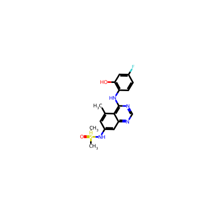 Cc1cc(N[SH](C)(C)=O)cc2ncnc(Nc3ccc(F)cc3O)c12